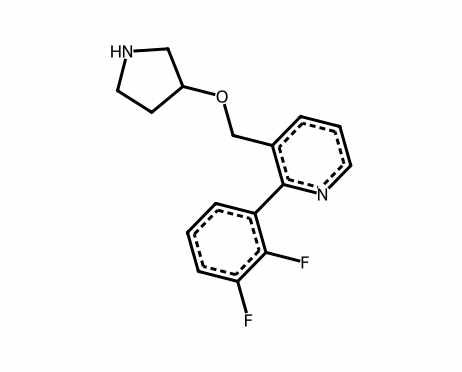 Fc1cccc(-c2ncccc2COC2CCNC2)c1F